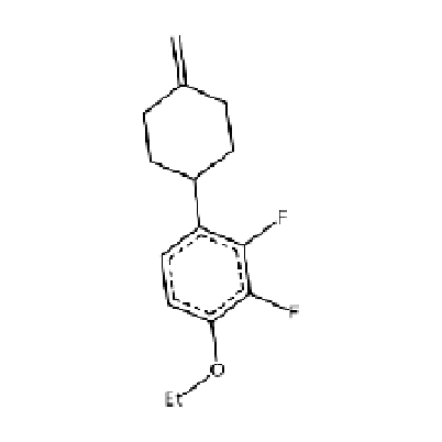 C=C1CCC(c2ccc(OCC)c(F)c2F)CC1